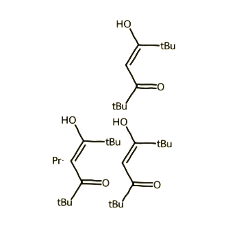 CC(C)(C)C(=O)/C=C(/O)C(C)(C)C.CC(C)(C)C(=O)/C=C(/O)C(C)(C)C.CC(C)(C)C(=O)/C=C(/O)C(C)(C)C.[Pr]